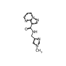 Cn1cnc(CNC(=O)c2cnn3cccnc23)c1